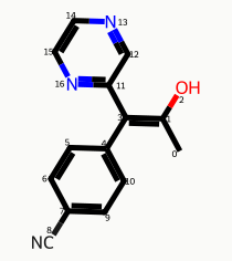 C/C(O)=C(\c1ccc(C#N)cc1)c1cnccn1